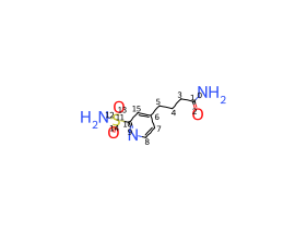 NC(=O)CCCc1ccnc(S(N)(=O)=O)c1